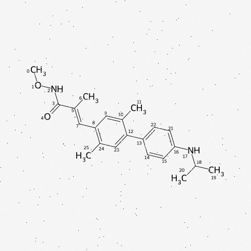 CONC(=O)/C(C)=C/c1cc(C)c(-c2ccc(NC(C)C)cc2)cc1C